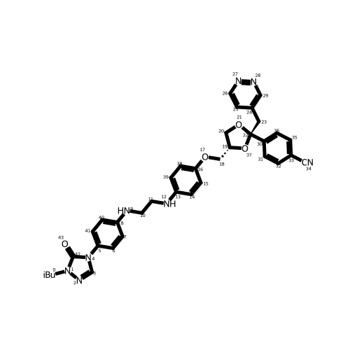 CCC(C)n1ncn(-c2ccc(NCCNc3ccc(OC[C@@H]4CO[C@](Cc5ccnnc5)(c5ccc(C#N)cc5)O4)cc3)cc2)c1=O